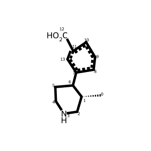 C[C@@H]1CNCCC1c1cccc(C(=O)O)c1